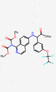 COC(=O)C(Nc1ccc2c(N(C(=O)OC(C)(C)C)C(=O)OC(C)(C)C)nccc2c1)c1cccc(OC(F)(F)C(F)F)c1